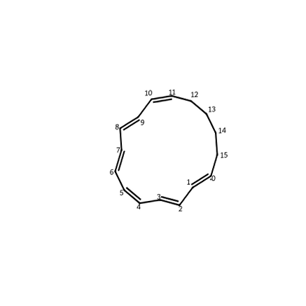 [C]1=C/C=C/C=C\C=C\C=C\C=C/CCCC/1